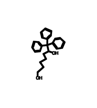 OCCCCCC(O)C(c1ccccc1)(c1ccccc1)c1ccccc1